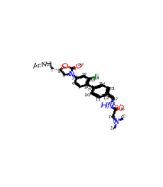 CC(=O)NC[C@H]1CN(c2ccc(-c3ccc(CNC(=O)CN(C)C)cc3)c(F)c2)C(=O)O1